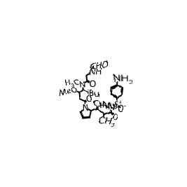 CCC(C)C(C(CC(=O)N1CCCC1C(OC)C(C)C(=O)N[S+]([O-])c1ccc(N)cc1)OC)N(C)C(=O)CNC=O